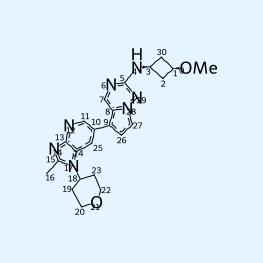 CO[C@H]1C[C@@H](Nc2ncc3c(-c4cnc5nc(C)n(C6CCOCC6)c5c4)ccn3n2)C1